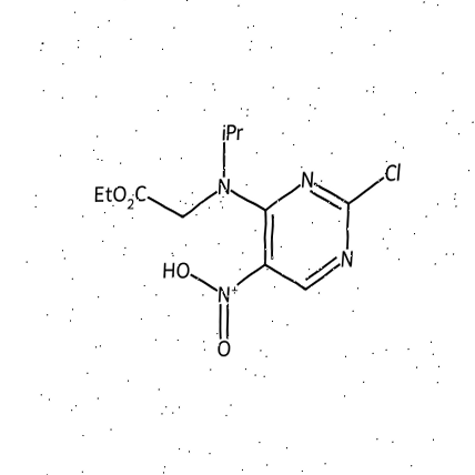 CCOC(=O)CN(c1nc(Cl)ncc1[N+](=O)O)C(C)C